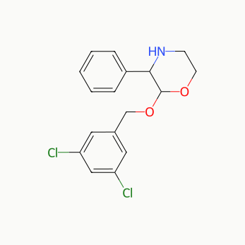 Clc1cc(Cl)cc(COC2OCCNC2c2ccccc2)c1